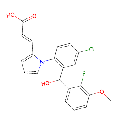 COc1cccc(C(O)c2cc(Cl)ccc2-n2cccc2/C=C/C(=O)O)c1F